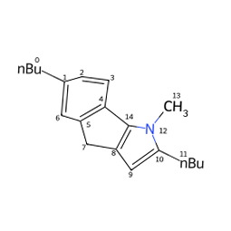 CCCCc1ccc2c(c1)Cc1cc(CCCC)n(C)c1-2